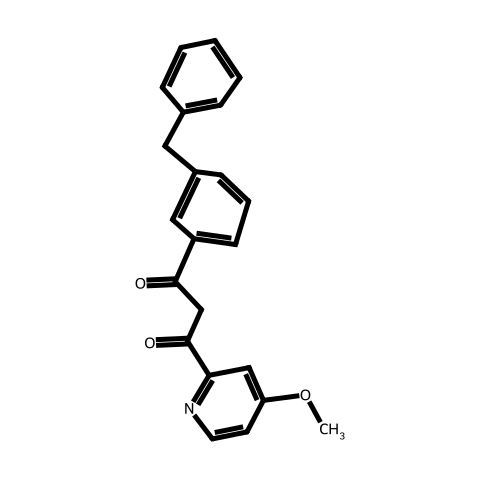 COc1ccnc(C(=O)CC(=O)c2cccc(Cc3ccccc3)c2)c1